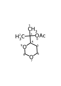 CC(=O)OC(C)(C)C1CCOCO1